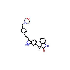 O=C1Nc2ccccc2[C@]12C[C@H]2c1ccc2c(/C=C/C3=CCC(CN4CCOCC4)C=C3)n[nH]c2c1